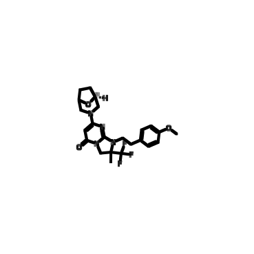 COc1ccc(CCN2c3nc(N4CC5CC[C@@H](C4)O5)cc(=O)n3CC2(C)C(F)(F)F)cc1